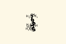 COc1cc(-c2[nH]c3ccc(N4CCN(CCC(C)(C)C)CC4)nc3c2C(C)C)cn2ncnc12